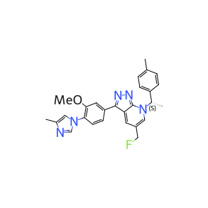 COc1cc(-c2nnc3n([C@@H](C)c4ccc(C)cc4)cc(CF)cc2-3)ccc1-n1cnc(C)c1